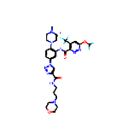 C[C@@H]1CN(c2ccc(-n3cc(C(=O)NCCCN4CCOCC4)nn3)cc2NC(=O)c2nnc(OC(F)F)cc2C(F)(F)F)CCN1C